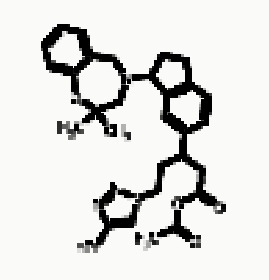 CCCc1cn(CCC(CC(=O)OC(=O)C(F)(F)F)c2ccc3c(c2)C(N2Cc4ccccc4OC(C)(C)C2)CC3)nn1